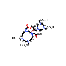 CC(C)C(COC(=O)CN1CCCN(CC(=O)O)CCN(CC(=O)O)CCCN(CC(=O)C(C)(C)C)CC1)C(=O)CN1CCN(CC(=O)O)CCN(CC(=O)O)CC1